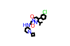 CC(C)c1nn(CC(=O)N[C@@H]2CCCN(C3CCC3)C2)c(=O)cc1-c1cccc(Cl)c1